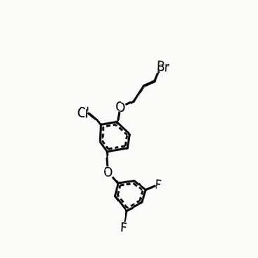 Fc1cc(F)cc(Oc2ccc(OCCCBr)c(Cl)c2)c1